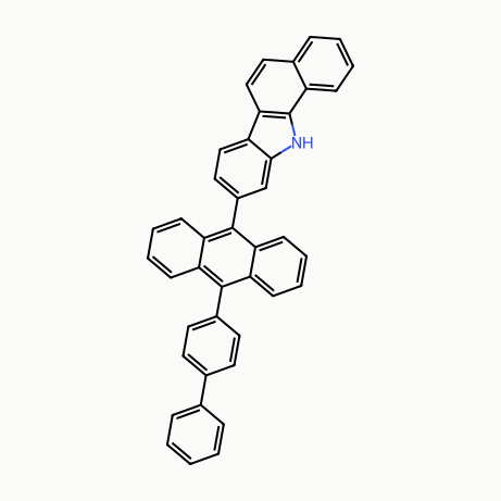 c1ccc(-c2ccc(-c3c4ccccc4c(-c4ccc5c(c4)[nH]c4c6ccccc6ccc54)c4ccccc34)cc2)cc1